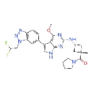 COc1nc(N[C@H]2C[C@@](C)(C(=O)N3CCCC3)C2)nc2[nH]cc(-c3ccc4nnn(CC(F)F)c4c3)c12